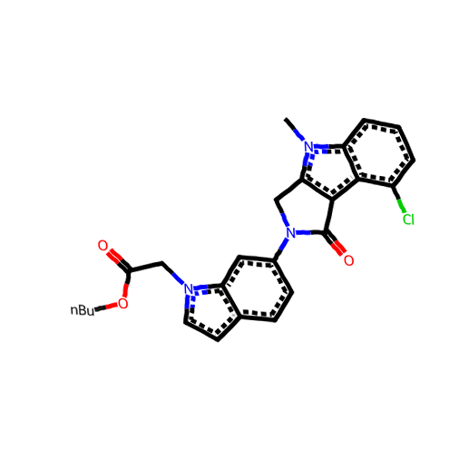 CCCCOC(=O)Cn1ccc2ccc(N3Cc4c(c5c(Cl)cccc5n4C)C3=O)cc21